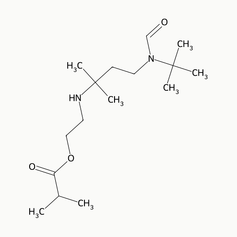 CC(C)C(=O)OCCNC(C)(C)CCN(C=O)C(C)(C)C